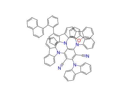 N#Cc1c(-n2c3ccccc3c3ccccc32)c(C#N)c(-n2c3ccccc3c3ccccc32)c(-n2c3cccc(-c4ccccc4-c4cccc5ccccc45)c3c3ccc4c5ccccc5oc4c32)c1-n1c2ccccc2c2ccccc21